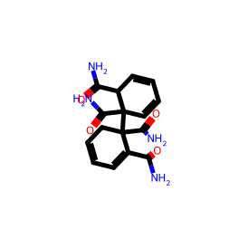 NC(=O)C1=CC=CCC1(C(N)=O)C1(C(N)=O)C=CC=CC1C(N)=O